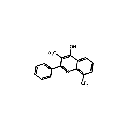 O=C(O)c1c(-c2ccccc2)nc2c(C(F)(F)F)cccc2c1O